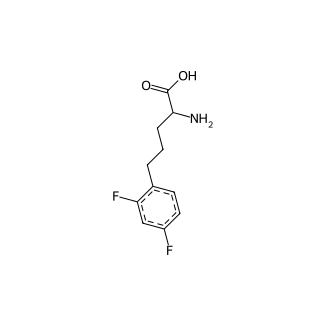 NC(CCCc1ccc(F)cc1F)C(=O)O